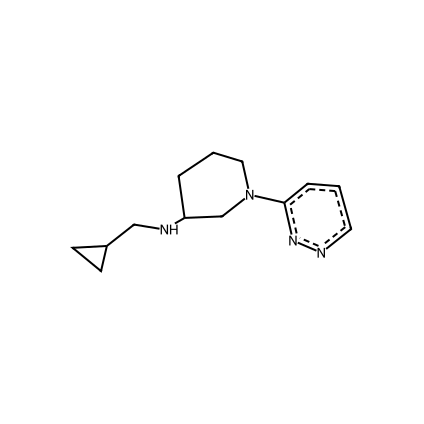 c1cnnc(N2CCCC(NCC3CC3)C2)c1